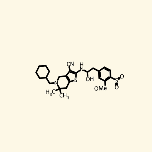 COc1cc(CC(O)Nc2sc3c(c2C#N)CN(CC2CCCCC2)C(C)(C)C3)ccc1[SH](=O)=O